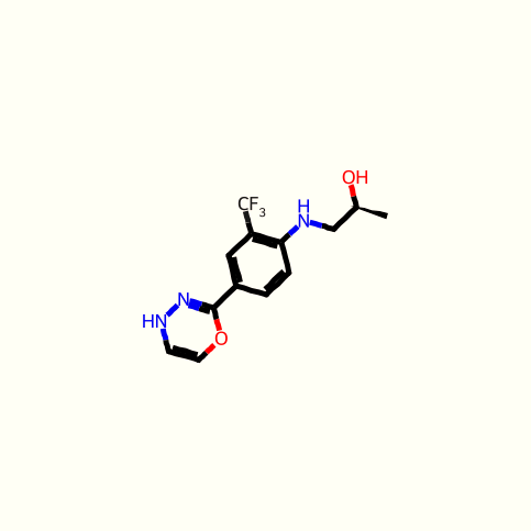 C[C@H](O)CNc1ccc(C2=NNC=CO2)cc1C(F)(F)F